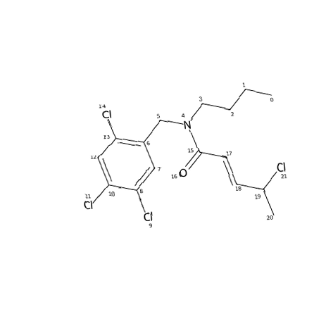 CCCCN(Cc1cc(Cl)c(Cl)cc1Cl)C(=O)C=CC(C)Cl